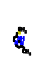 CCC1CCN2CCC(CSC)NC2=N1